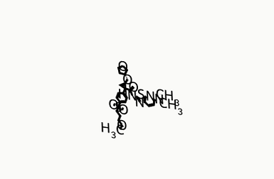 COCCCS(=O)(=O)c1ccc(C2(C(=O)Nc3nc4ccc(N(C)C)nc4s3)C=C2O[C@@H]2CCOC2)cc1